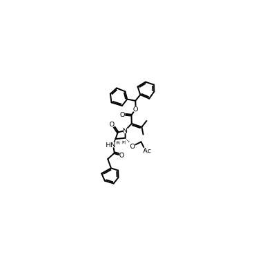 CC(=O)CO[C@@H]1[C@@H](NC(=O)Cc2ccccc2)C(=O)N1C(C(=O)OC(c1ccccc1)c1ccccc1)=C(C)C